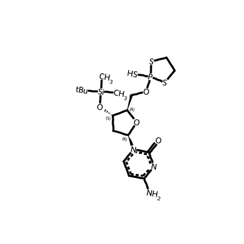 CC(C)(C)[Si](C)(C)O[C@H]1C[C@H](n2ccc(N)nc2=O)O[C@@H]1CO[P]1(S)SCCS1